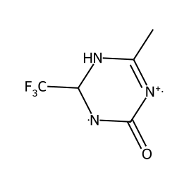 CC1=[N+]C(=O)[N]C(C(F)(F)F)N1